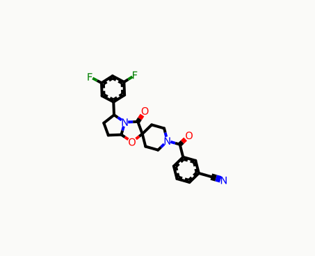 N#Cc1cccc(C(=O)N2CCC3(CC2)OC2CCC(c4cc(F)cc(F)c4)N2C3=O)c1